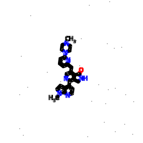 CN1CCN(c2cccc(Cc3cnc(-c4ccnc5c4ccn5C)c4c3C(=O)NC4)n2)CC1